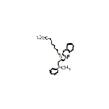 CCCCCCCCCCCCCCCC[n+]1c(CC(C)c2ccccc2)cn(CC)c1Cc1ccccc1